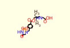 CC(C)(CNCC(=O)O)COC(=O)c1ccc(CN2CC(=O)NS2(=O)=O)cc1